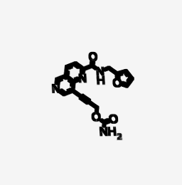 NC(=O)OCC#Cc1cncc2ccc(C(=O)NCc3ccco3)nc12